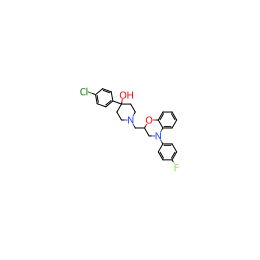 OC1(c2ccc(Cl)cc2)CCN(CC2CN(c3ccc(F)cc3)c3ccccc3O2)CC1